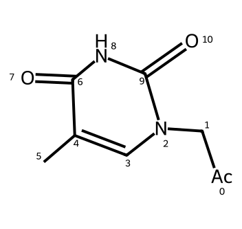 CC(=O)Cn1cc(C)c(=O)[nH]c1=O